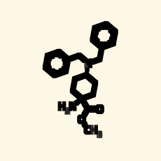 COC(=O)[C@]1(N)CC[C@H](N(Cc2ccccc2)Cc2ccccc2)CC1